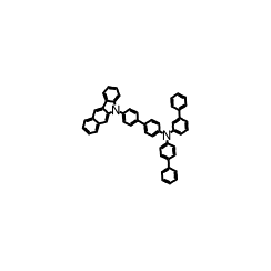 c1ccc(-c2ccc(N(c3ccc(-c4ccc(-n5c6ccccc6c6cc7ccccc7cc65)cc4)cc3)c3cccc(-c4ccccc4)c3)cc2)cc1